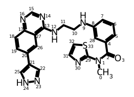 CN(C(=O)c1cccc(NCCNc2ncnc3ccc(-c4cn[nH]c4)cc23)c1)c1nccs1